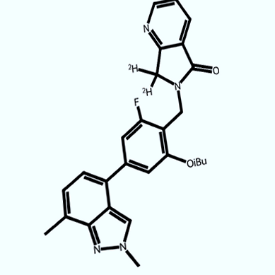 [2H]C1([2H])c2ncccc2C(=O)N1Cc1c(F)cc(-c2ccc(C)c3nn(C)cc23)cc1OCC(C)C